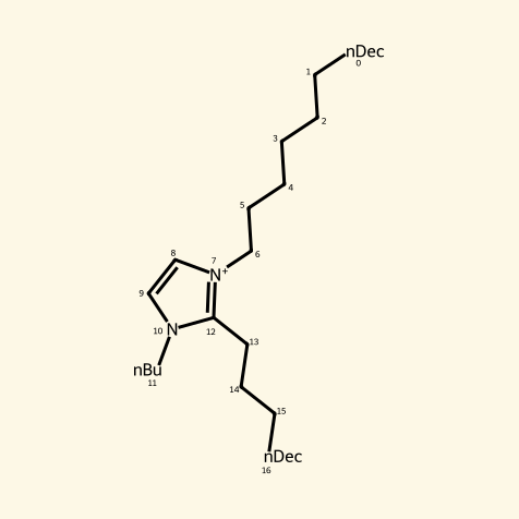 CCCCCCCCCCCCCCCC[n+]1ccn(CCCC)c1CCCCCCCCCCCCC